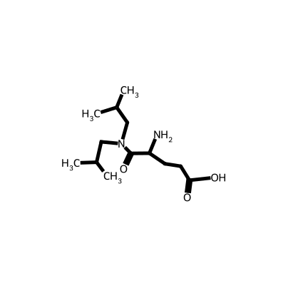 CC(C)CN(CC(C)C)C(=O)C(N)CCC(=O)O